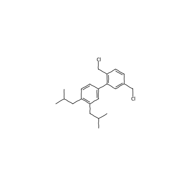 CC(C)Cc1ccc(-c2cc(CCl)ccc2CCl)cc1CC(C)C